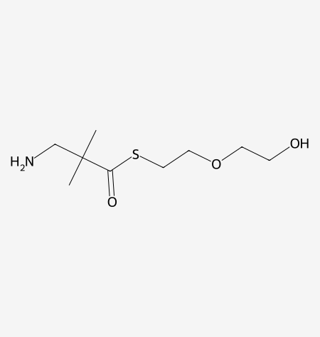 CC(C)(CN)C(=O)SCCOCCO